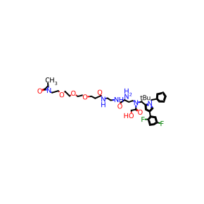 CC1C(=O)N1CCOCCOCCOCCC(=O)NCCNC(=O)C(N)CCN(C(=O)CO)C(c1cc(-c2cc(F)ccc2F)cn1Cc1ccccc1)C(C)(C)C